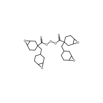 O=C(OOOC(=O)C1(CC2CCC3OC3C2)CCC2OC2C1)C1(CC2CCC3OC3C2)CCC2OC2C1